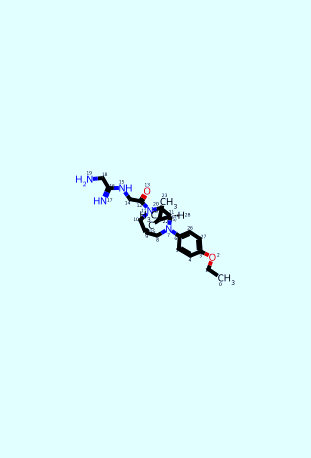 CCOc1ccc(N2CC3CN(C(=O)CNC(=N)CN)C[C@@H]2C(C)(C)C3)cc1